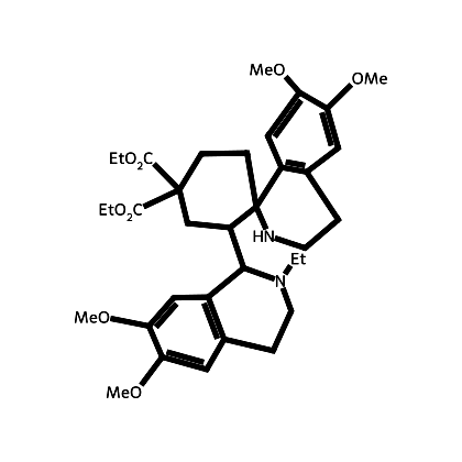 CCOC(=O)C1(C(=O)OCC)CCC2(NCCc3cc(OC)c(OC)cc32)C(C2c3cc(OC)c(OC)cc3CCN2CC)C1